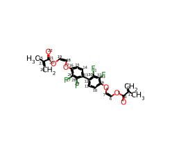 C=C(C)C(=O)O/C=C\Oc1ccc(-c2ccc(O/C=C\OC(=O)C(=C)C)c(F)c2F)c(F)c1F